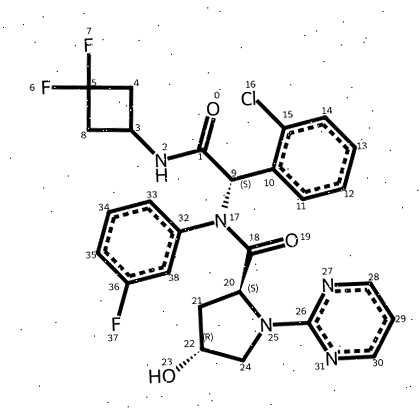 O=C(NC1CC(F)(F)C1)[C@H](c1ccccc1Cl)N(C(=O)[C@@H]1C[C@@H](O)CN1c1ncccn1)c1cccc(F)c1